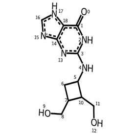 O=c1[nH]c(NC2CC(CO)C2CO)nc2nc[nH]c12